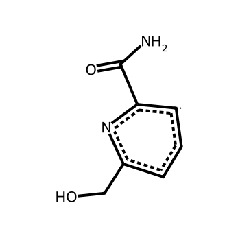 NC(=O)c1[c]ccc(CO)n1